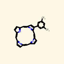 FC(F)(F)c1cc(C2=CC3=CC4=NC(=CC5=NC(=CC6=NC(=CC2=N3)C=C6)C=C5)C=C4)cc(C(F)(F)F)c1